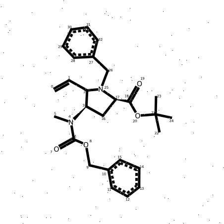 C=CC1[C@H](N(C)C(=O)OCc2ccccc2)C[C@H](C(=O)OC(C)(C)C)N1Cc1ccccc1